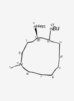 CCCCCCC[C@@H]1CCN(C)CCCCCCC1CCCC